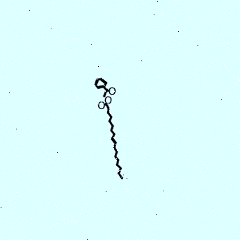 CCCCCCCCC=CCCCCCCCC(=O)OCC(=O)c1ccccc1